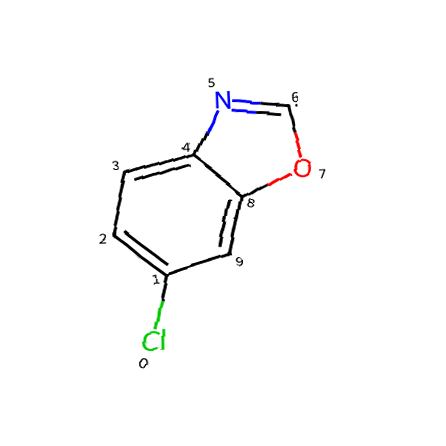 Clc1ccc2n[c]oc2c1